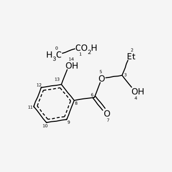 CC(=O)O.CCC(O)OC(=O)c1ccccc1O